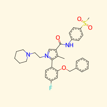 Cc1c(C(=O)Nc2ccc(S(C)(=O)=O)cc2)cn(CCN2CCCCC2)c1-c1ccc(F)cc1OCc1ccccc1